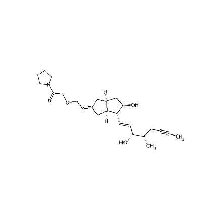 CC#CC[C@H](C)[C@H](O)/C=C/[C@@H]1[C@H]2C/C(=C/COCC(=O)N3CCCC3)C[C@H]2C[C@H]1O